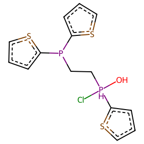 O[PH](Cl)(CCP(c1cccs1)c1cccs1)c1cccs1